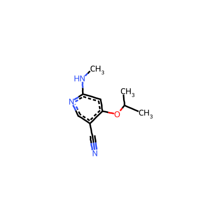 CNc1cc(OC(C)C)c(C#N)cn1